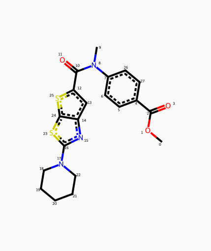 COC(=O)c1ccc(N(C)C(=O)c2cc3nc(N4CCCCC4)sc3s2)cc1